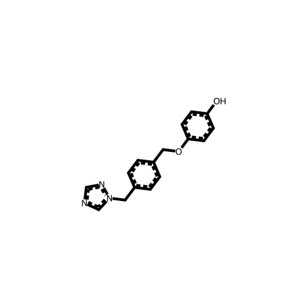 Oc1ccc(OCc2ccc(Cn3cncn3)cc2)cc1